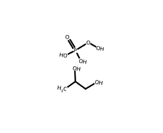 CC(O)CO.O=P(O)(O)OO